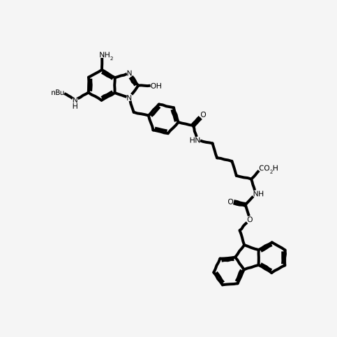 CCCCNc1cc(N)c2nc(O)n(Cc3ccc(C(=O)NCCCCC(NC(=O)OCC4c5ccccc5-c5ccccc54)C(=O)O)cc3)c2c1